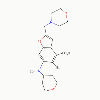 CCc1c(N(CC)C2CCOCC2)cc2oc(CN3CCOCC3)cc2c1C(=O)O